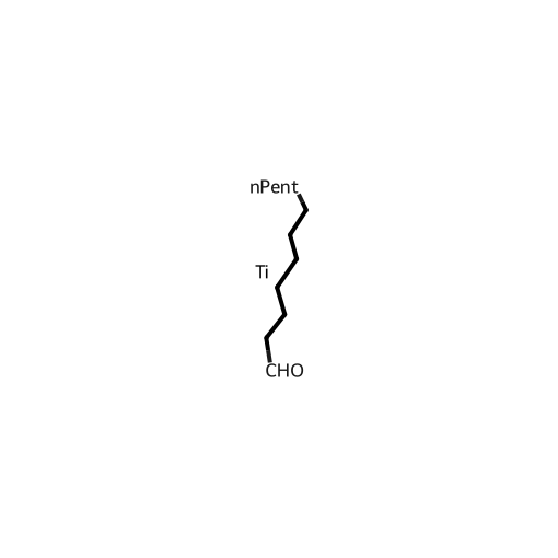 CCCCCCCCCCCC=O.[Ti]